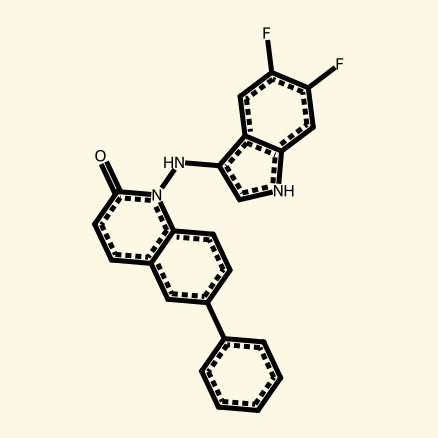 O=c1ccc2cc(-c3ccccc3)ccc2n1Nc1c[nH]c2cc(F)c(F)cc12